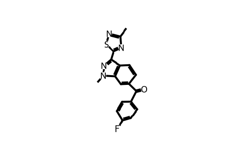 Cc1nsc(-c2nn(C)c3cc(C(=O)c4ccc(F)cc4)ccc23)n1